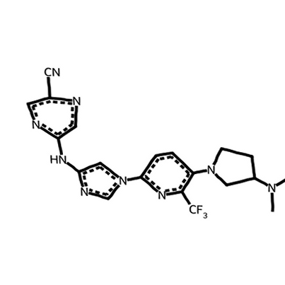 CN(C)C1CCN(c2ccc(-n3cnc(Nc4cnc(C#N)cn4)c3)nc2C(F)(F)F)C1